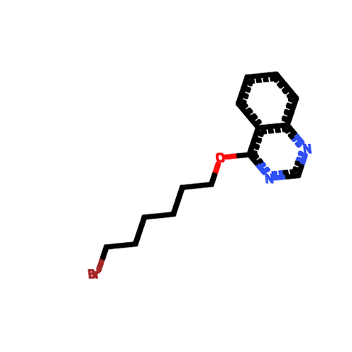 BrCCCCCCOc1ncnc2ccccc12